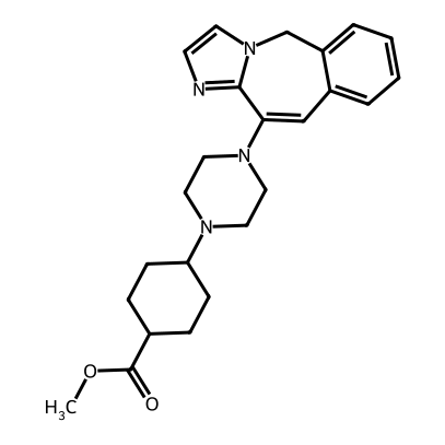 COC(=O)C1CCC(N2CCN(C3=Cc4ccccc4Cn4ccnc43)CC2)CC1